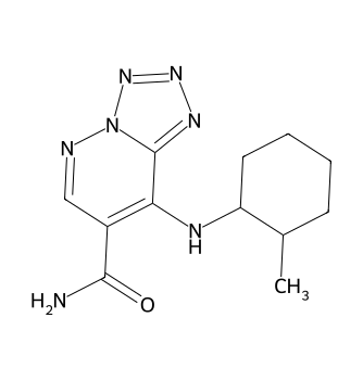 CC1CCCCC1Nc1c(C(N)=O)cnn2nnnc12